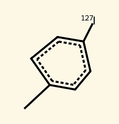 Cc1ccc([127I])cc1